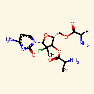 CC(C)C(N)C(=O)OC[C@H]1O[C@@H](n2ccc(N)nc2=O)C(C)(F)C1OC(=O)C(N)C(C)C